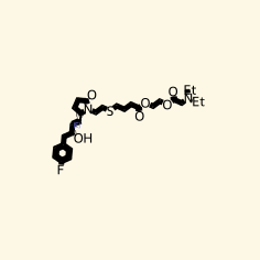 CCN(CC)CC(=O)OCCOC(=O)CCCSCCN1C(=O)CC[C@@H]1/C=C/[C@@H](O)Cc1ccc(F)cc1